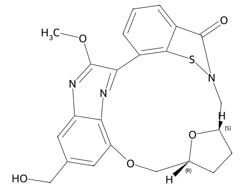 COc1nc2cc(CO)cc3c2nc1-c1cccc2c(=O)n(sc12)C[C@@H]1CC[C@H](CO3)O1